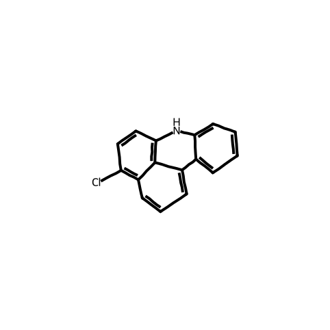 Clc1ccc2c3c(cccc13)-c1ccccc1N2